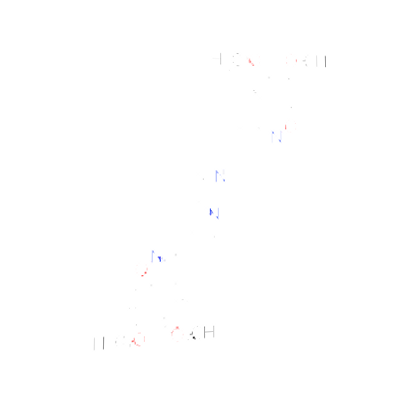 COc1cc2onc(CCCN3CCN(CCCc4noc5cc(OC)c(OC)cc45)CC3)c2cc1OC